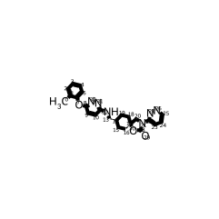 Cc1ccccc1Oc1ccc(NC[C@H]2CC[C@]3(CC2)CN(c2cccnn2)C(=O)O3)nn1